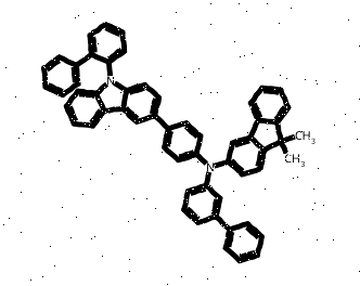 CC1(C)c2ccccc2-c2cc(N(c3ccc(-c4ccc5c(c4)c4ccccc4n5-c4ccccc4-c4ccccc4)cc3)c3cccc(-c4ccccc4)c3)ccc21